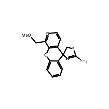 COCc1nccc2c1Oc1ccccc1C21CSC(N)=N1